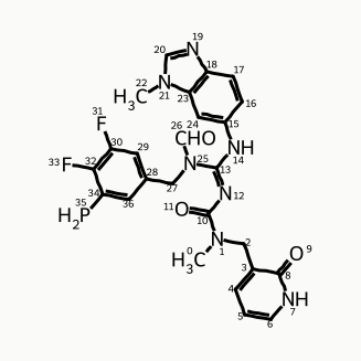 CN(Cc1ccc[nH]c1=O)C(=O)/N=C(/Nc1ccc2ncn(C)c2c1)N(C=O)Cc1cc(F)c(F)c(P)c1